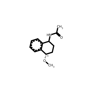 CO[C@H]1CCC(NC(C)=O)c2ccccc21